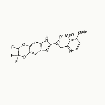 COc1ccnc(C[S+]([O-])c2nc3cc4c(cc3[nH]2)OC(F)C(F)(F)O4)c1OC